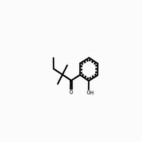 CCC(C)(C)C(=O)c1ccccc1O